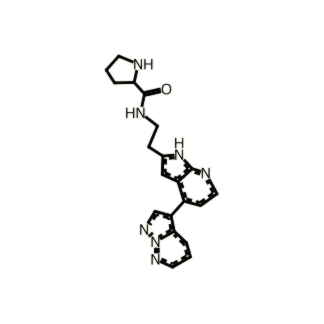 O=C(NCCc1cc2c(-c3cnn4ncccc34)ccnc2[nH]1)C1CCCN1